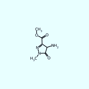 COC(=O)C1=NN(C)C(=O)C1N